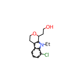 CCn1c2c(c3cccc(Cl)c31)CCOC2CCO